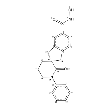 O=C(NO)c1ccc2c(c1)C[C@]1(CCCN(c3ccccc3)C1=O)C2